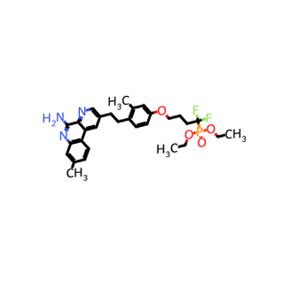 CCOP(=O)(OCC)C(F)(F)CCCOc1ccc(CCc2cnc3c(N)nc4cc(C)ccc4c3c2)c(C)c1